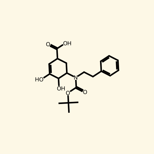 CC(C)(C)OC(=O)N(CCc1ccccc1)C1CC(C(=O)O)C=C(O)C1O